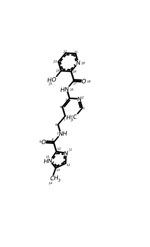 C/C=N\C(=C/CCNC(=O)c1ncc(C)[nH]1)NC(=O)c1ncccc1O